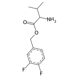 CC(C)C(N)C(=O)OCc1ccc(F)c(F)c1